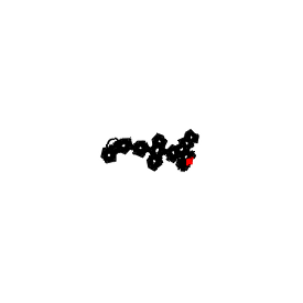 c1ccc2cc3c(cc2c1)-c1cc(-c2c4ccccc4c(-c4ccc(-c5ccc6oc7ccccc7c6c5)cc4)c4ccccc24)ccc1C31C2CC3CC(C2)CC1C3